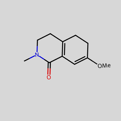 COC1=CC2=C(CC1)CCN(C)C2=O